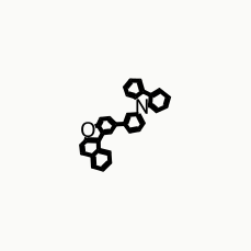 c1cc(-c2ccc3oc4ccc5ccccc5c4c3c2)cc(-n2c3ccccc3c3ccccc32)c1